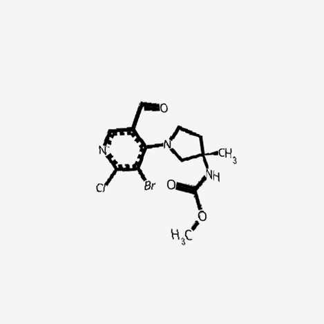 COC(=O)N[C@@]1(C)CCN(c2c(C=O)cnc(Cl)c2Br)C1